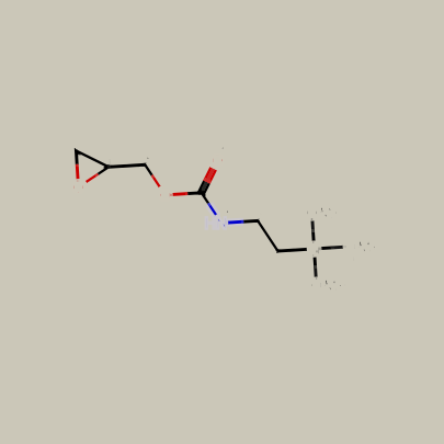 CO[Si](CCNC(=O)OCC1CO1)(OC)OC